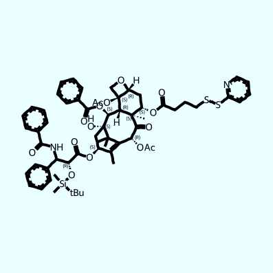 CC(=O)O[C@H]1C(=O)[C@]2(C)[C@@H](OC(=O)CCCSSc3ccccn3)C[C@H]3OC[C@@]3(OC(C)=O)[C@H]2[C@H](OC(=O)c2ccccc2)[C@]2(O)C[C@H](OC(=O)[C@H](O[Si](C)(C)C(C)(C)C)C(NC(=O)c3ccccc3)c3ccccc3)C(C)=C1C2(C)C